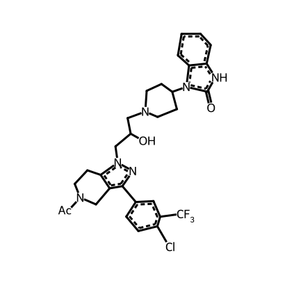 CC(=O)N1CCc2c(c(-c3ccc(Cl)c(C(F)(F)F)c3)nn2CC(O)CN2CCC(n3c(=O)[nH]c4ccccc43)CC2)C1